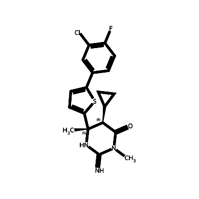 CN1C(=N)N[C@](C)(c2ccc(-c3ccc(F)c(Cl)c3)s2)[C@@H](C2CC2)C1=O